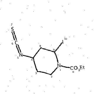 CCOC(=O)N1CCC(N=C=S)CC1I